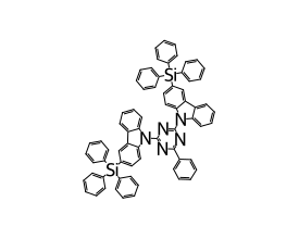 c1ccc(-c2nc(-n3c4ccccc4c4cc([Si](c5ccccc5)(c5ccccc5)c5ccccc5)ccc43)nc(-n3c4ccccc4c4cc([Si](c5ccccc5)(c5ccccc5)c5ccccc5)ccc43)n2)cc1